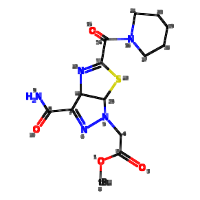 CC(C)(C)OC(=O)CN1N=C(C(N)=O)C2N=C(C(=O)N3CCCCC3)SC21